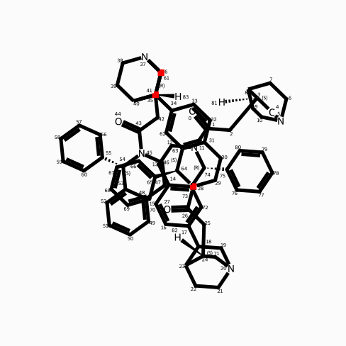 O=C(C[C@@H]1CN2CCC1CC2)N1CCc2ccc(C3CN4CCC3[C@H](CC(=O)N3CCc5ccc(C6CN7CCC6[C@@H](CC(=O)N6CCc8ccccc8[C@@H]6c6ccccc6)C7)cc5[C@@H]3c3ccccc3)C4)cc2[C@H]1c1ccccc1